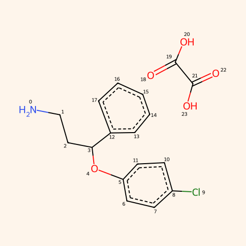 NCCC(Oc1ccc(Cl)cc1)c1ccccc1.O=C(O)C(=O)O